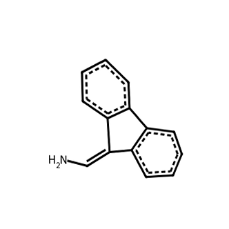 NC=C1c2ccccc2-c2ccccc21